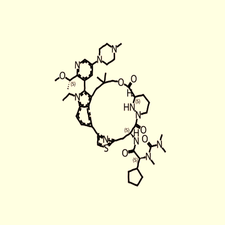 CCn1c(-c2cc(N3CCN(C)CC3)cnc2[C@H](C)OC)c2c3cc(ccc31)-c1csc(n1)C[C@H](NC(=O)[C@H](C1CCCC1)N(C)C(=O)N(C)C)C(=O)N1CCC[C@H](N1)C(=O)OCC(C)(C)C2